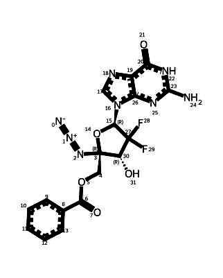 [N-]=[N+]=N[C@]1(COC(=O)c2ccccc2)O[C@@H](n2cnc3c(=O)[nH]c(N)nc32)C(F)(F)[C@@H]1O